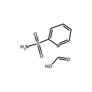 NS(=O)(=O)c1ccccn1.O=CO